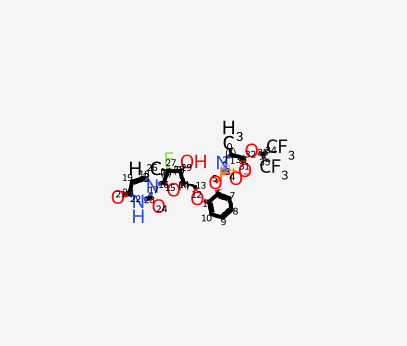 C[C@H](/N=[P+](\[O-])Oc1ccccc1OC[C@H]1OC(n2ccc(=O)[nH]c2=O)[C@](C)(F)[C@@H]1O)C(=O)OC(C(F)(F)F)C(F)(F)F